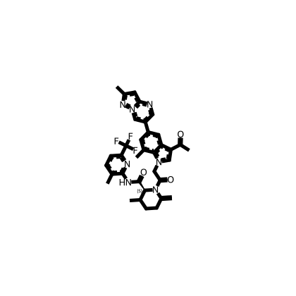 C=C1CCC(C)[C@@H](C(=O)Nc2nc(C(F)(F)F)ccc2C)N1C(=O)Cn1cc(C(C)=O)c2cc(-c3cnc4cc(C)nn4c3)cc(C)c21